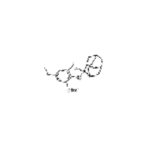 C=Cc1cc(I)c(OC2(CC)C3CC4CC(C3)CC2C4)c(OC)c1